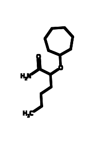 CCCCC(OC1CCCCCC1)C(N)=O